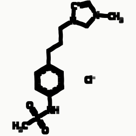 CN1C=[C+]N(CCCc2ccc(NS(C)(=O)=O)cc2)C1.[Cl-]